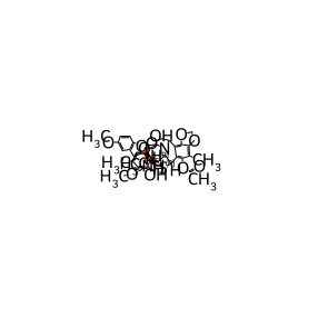 COc1ccc2oc3c(c2c1)CCN[C@]31CS[C@@H]2c3c(OC(C)=O)c(C)c4c(c3C(COC1=O)N1[C@@H]2[C@@H]2c3c(cc(C)c(OC)c3O)CC1(O)CN2C)OCO4